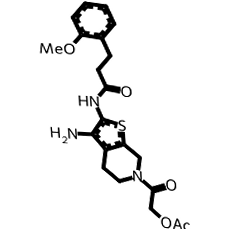 COc1ccccc1CCC(=O)Nc1sc2c(c1N)CCN(C(=O)COC(C)=O)C2